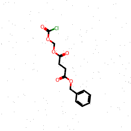 O=C(Cl)OCOC(=O)CCC(=O)OCc1ccccc1